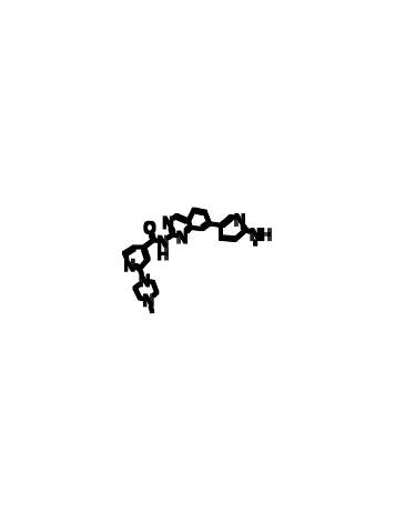 CNc1ccc(-c2ccc3cnc(NC(=O)c4ccnc(N5CCN(C)CC5)c4)nc3c2)cn1